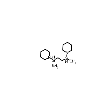 C[SiH](CC[SiH](C)N1CCCCC1)N1CCCCC1